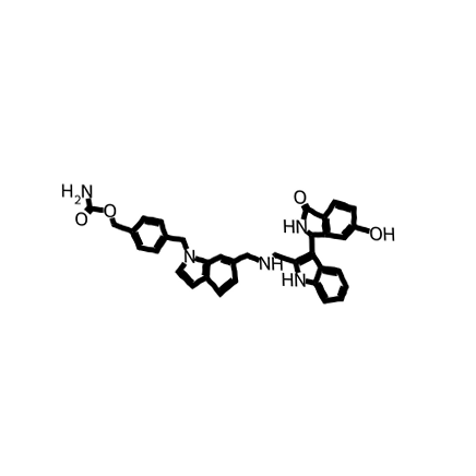 NC(=O)OCc1ccc(Cn2ccc3ccc(CNCc4[nH]c5ccccc5c4C4NC(=O)c5ccc(O)cc54)cc32)cc1